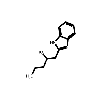 CCCC(O)Cc1nc2ccccc2[nH]1